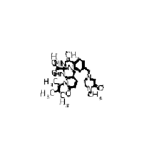 CC(C)[C@H](C)n1c2c(ccc1=O)C=NC(N[C@@H](C)c1ccc(CN3CCN(C)C(=O)C3)cc1)(C(=O)O)N2